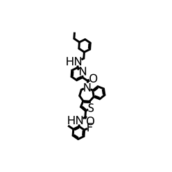 CCC1CC=CC(CNc2cccc(C(=O)N3CCc4cc(C(=O)Nc5c(C)cccc5F)sc4-c4ccccc43)n2)C1